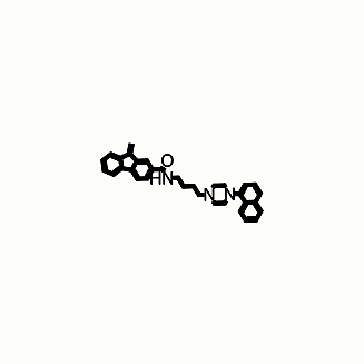 C=C1c2ccccc2-c2ccc(C(=O)NCCCCN3CCN(c4cccc5ccccc45)CC3)cc21